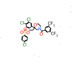 O=C(c1cc(C(F)(F)F)cc(C(F)(F)F)c1)N1CCOC(CCOS(=O)(=O)c2ccc(Cl)cc2)(c2ccc(Cl)c(Cl)c2)C1